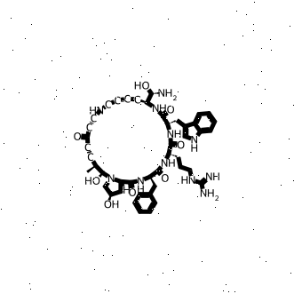 C[C@H]1CCC(=O)CCNCCCC[C@@H]([C@@H](N)O)NC(=O)[C@H](Cc2c[nH]c3ccccc23)NC(=O)[C@H](CCCNC(=N)N)NC(=O)[C@@H](Cc2ccccc2)NC(=O)[C@@H]2C[C@@H](O)CN2[C@H]1O